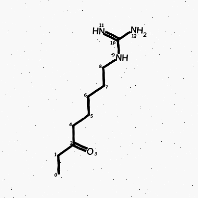 CCC(=O)CCCCCNC(=N)N